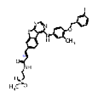 Cc1cc(Nc2ncnc3sc4cc(/C=C/C(=O)NCCS(C)(=O)=O)ccc4c23)ccc1OCc1cccc(F)c1